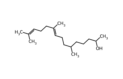 CC(C)=CCCC(C)=CCCC(C)CCCC(C)O